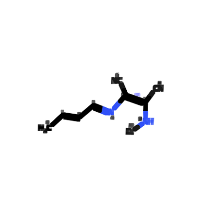 CC=CC=N/C(C#N)=C(/C#N)NCC